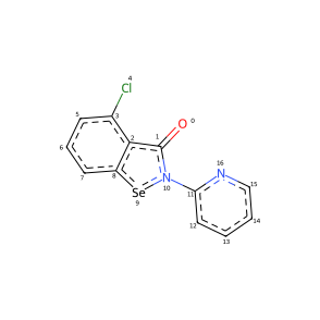 O=c1c2c(Cl)cccc2[se]n1-c1ccccn1